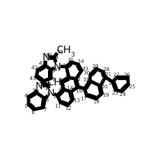 Cc1nc2ccccc2n1-c1cccc2c(-c3cccc4c(-c5ccccc5)cccc34)c3cccc(-n4c(C)nc5ccccc54)c3cc12